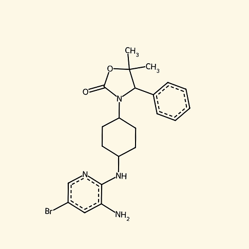 CC1(C)OC(=O)N(C2CCC(Nc3ncc(Br)cc3N)CC2)C1c1ccccc1